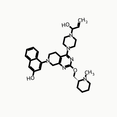 C=CC(O)N1CCN(c2nc(OC[C@H]3CCCCN3C)nc3c2CCN(c2cc(O)cc4ccccc24)C3)CC1